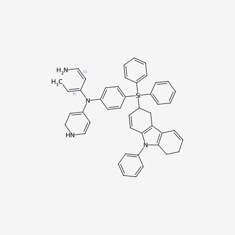 C/C=C(\C=C/N)N(C1=CCNC=C1)c1ccc([Si](c2ccccc2)(c2ccccc2)C2C=Cc3c(c4c(n3-c3ccccc3)CCC=C4)C2)cc1